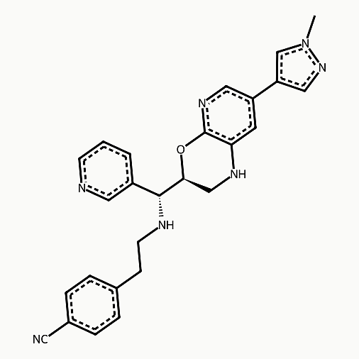 Cn1cc(-c2cnc3c(c2)NC[C@@H]([C@H](NCCc2ccc(C#N)cc2)c2cccnc2)O3)cn1